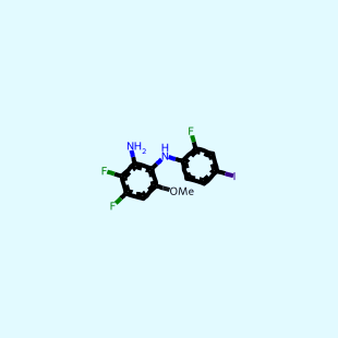 COc1cc(F)c(F)c(N)c1Nc1ccc(I)cc1F